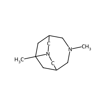 CN1CC2CCCC(C1)CN(C)C2